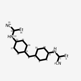 CCC(C#N)NC1CCC(CC2CCC(NC(C#N)CC)CC2)CC1